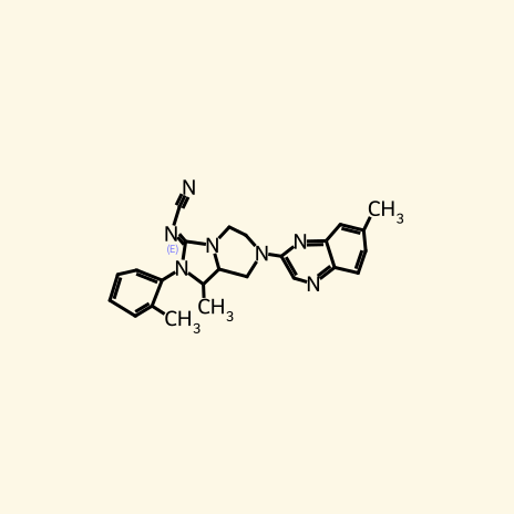 Cc1ccc2ncc(N3CCN4/C(=N\C#N)N(c5ccccc5C)C(C)C4C3)nc2c1